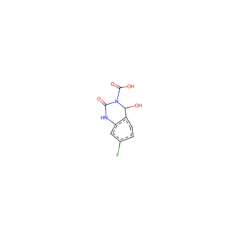 O=C(O)N1C(=O)Nc2cc(F)ccc2C1O